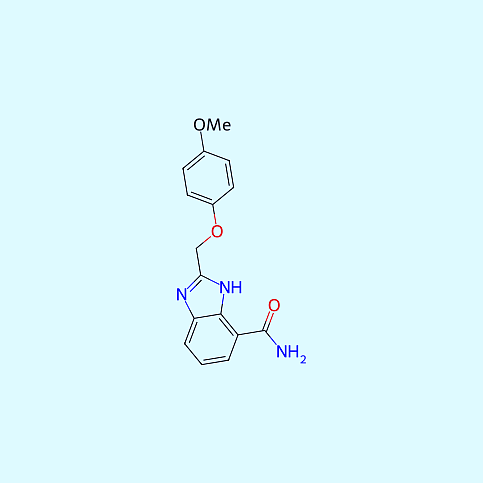 COc1ccc(OCc2nc3cccc(C(N)=O)c3[nH]2)cc1